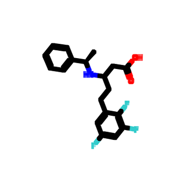 C[C@@H](NC(CCc1cc(F)cc(F)c1F)CC(=O)O)c1ccccc1